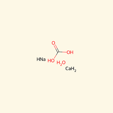 O.O=C(O)O.[CaH2].[NaH]